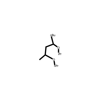 CCCC[C](CC(C)OCCC)OC(C)C